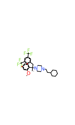 [CH2]C(Cc1cc(C(F)(F)F)cc(C(F)(F)F)c1)(c1ccccc1OC)N1CCN(CCC2CCCCC2)CC1